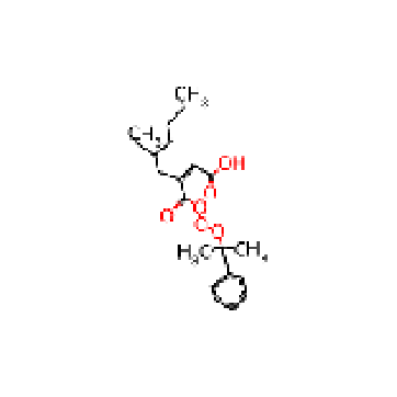 CCCCC(CC)CC(=CC(=O)O)C(=O)OOOC(C)(C)c1ccccc1